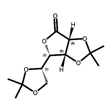 CC1(C)OC[C@@H]([C@@H]2OC(=O)[C@@H]3OC(C)(C)O[C@H]23)O1